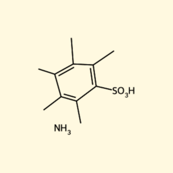 Cc1c(C)c(C)c(S(=O)(=O)O)c(C)c1C.N